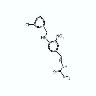 NC(=S)NN=Cc1ccc(NCc2cccc(Cl)c2)c([N+](=O)[O-])c1